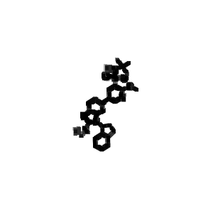 COc1ncc(-c2ccc3nc(N)n(C4CCc5ccccc54)c3c2)cc1S(=O)(=O)NC(C)(C)C